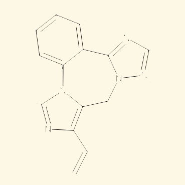 C=Cc1ncn2c1Cn1ncnc1-c1ccccc1-2